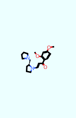 COc1ccc(C(=O)/C=C/N2CCC[C@H]2CN2CCCC2)c(OC)c1